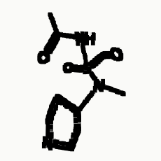 CC(=O)NS(=O)(=O)N(C)c1ccncc1